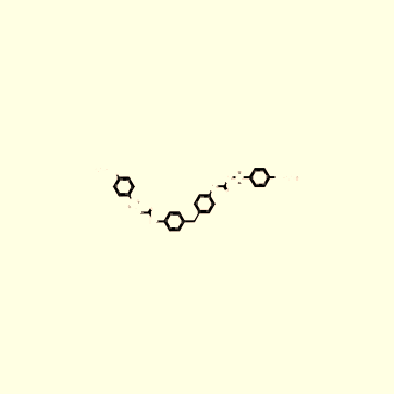 COc1ccc(S(=O)(=O)NC(=O)Nc2ccc(Cc3ccc(NC(=O)NS(=O)(=O)c4ccc(OC)cc4)cc3)cc2)cc1